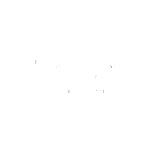 CN1C=CC(B(O)O)=CC1.I